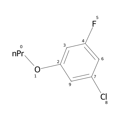 [CH2]CCOc1cc(F)cc(Cl)c1